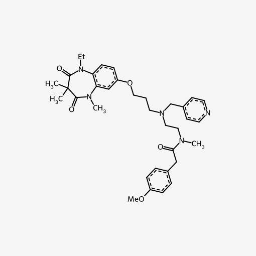 CCN1C(=O)C(C)(C)C(=O)N(C)c2cc(OCCCN(CCN(C)C(=O)Cc3ccc(OC)cc3)Cc3ccncc3)ccc21